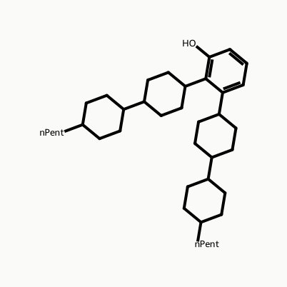 CCCCCC1CCC(C2CCC(c3cccc(O)c3C3CCC(C4CCC(CCCCC)CC4)CC3)CC2)CC1